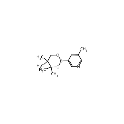 Cc1cncc(B2OCC(C)(C)C(C)(C)O2)c1